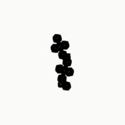 c1ccc(-c2c3ccccc3c(-c3ccc4c(c3)sc3ccc(-c5c6ccccc6c(-c6ccc7oc8ccccc8c7c6)c6ccccc56)cc34)c3ccccc23)cc1